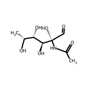 CC(=O)N[C@](O)(C=O)[C@@H](O)[C@@H](O)[C@@H](C)O